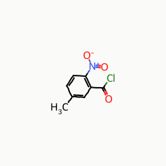 Cc1ccc([N+](=O)[O-])c(C(=O)Cl)c1